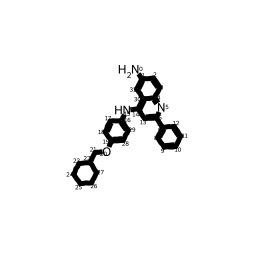 Nc1ccc2nc(-c3ccccc3)cc(Nc3ccc(OCC4CCCCC4)cc3)c2c1